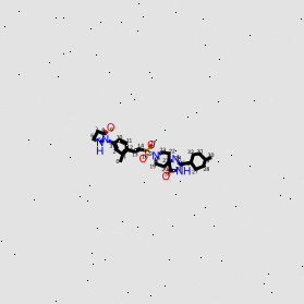 Cc1cc(N2NCCC2=O)ccc1C=CS(=O)(=O)N1CCC2(CC1)N=C(C1CCC(C)CC1)NC2=O